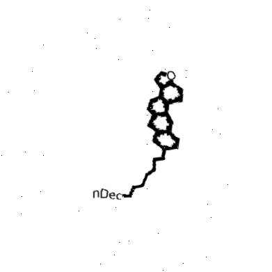 CCCCCCCCCCCCCCCCCc1ccc2cc3c(ccc4c5ccoc5ccc34)cc2c1